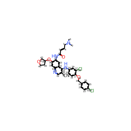 CN(C)C/C=C/C(=O)Nc1cc2c(Nc3ccc(OCc4ccc(Cl)cc4)c(Cl)c3)c(C#N)cnc2cc1OC1CCOC1